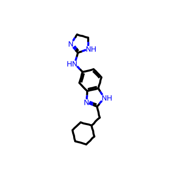 c1cc2[nH]c(CC3CCCCC3)nc2cc1NC1=NCCN1